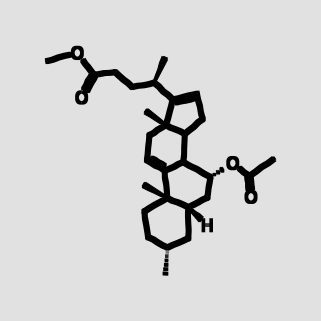 COC(=O)CC[C@@H](C)C1=CCC2C3C(=CC[C@]12C)[C@@]1(C)CC[C@@H](C)C[C@H]1C[C@H]3OC(C)=O